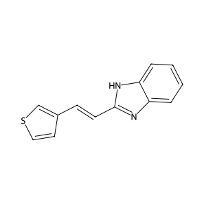 C(=Cc1nc2ccccc2[nH]1)c1ccsc1